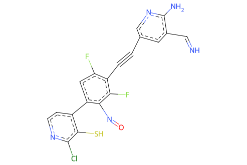 N=Cc1cc(C#Cc2c(F)cc(-c3ccnc(Cl)c3S)c(N=O)c2F)cnc1N